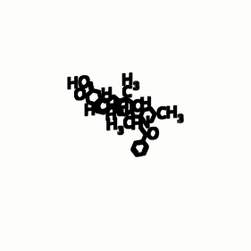 CC1=C2C[C@H]3[C@@H](CC[C@@H]4CC(=O)/C(=C\O)C[C@@]43C)[C@@H]2CC[C@@]2(C1)O[C@@H]1C[C@H](C)CN(CC(=O)c3ccccc3)[C@H]1[C@H]2C